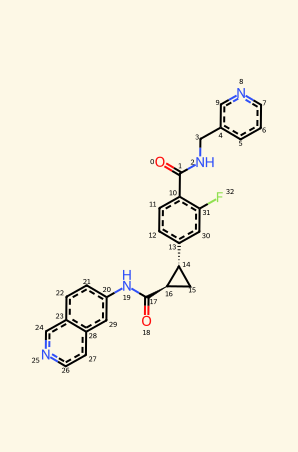 O=C(NCc1cccnc1)c1ccc([C@@H]2C[C@H]2C(=O)Nc2ccc3cnccc3c2)cc1F